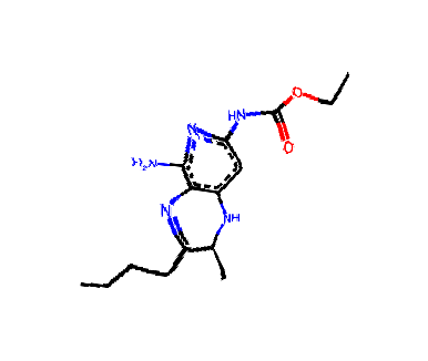 CCCCC1=Nc2c(cc(NC(=O)OCC)nc2N)N[C@H]1C